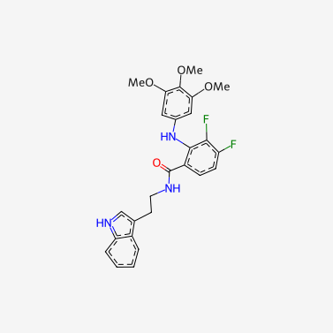 COc1cc(Nc2c(C(=O)NCCc3c[nH]c4ccccc34)ccc(F)c2F)cc(OC)c1OC